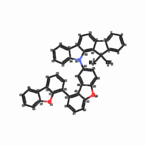 CC1(C)c2ccccc2-c2ccc3c4ccccc4n(-c4ccc5oc6cccc(-c7cccc8c7oc7ccccc78)c6c5c4)c3c21